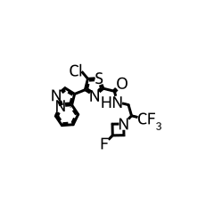 O=C(NCC(N1CC(F)C1)C(F)(F)F)c1nc(-c2cnn3ccccc23)c(Cl)s1